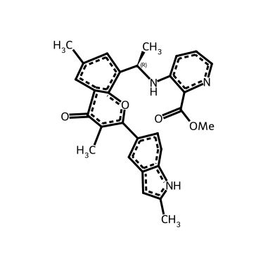 COC(=O)c1ncccc1N[C@H](C)c1cc(C)cc2c(=O)c(C)c(-c3ccc4[nH]c(C)cc4c3)oc12